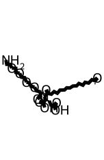 NCCOCCOCCOCCOCCC(=O)N(C(=O)CCCCCCCCCCCCCC[C]=O)[C@@H](CCC(=O)O)C(=O)O